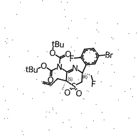 C=CC[C@@]1(C)C(N(C(=O)OC(C)(C)C)C(=O)OC(C)(C)C)=N[C@@](CF)(c2cc(Br)ccc2F)CS1(=O)=O